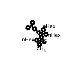 CCCCCCc1ccc(C2(c3ccc(C)cc3)c3cc4c(cc3-c3sccc32)C(c2ccc(CCCCCC)cc2)(c2ccc(CCCCCC)cc2)c2cc(-c3ccc(N(c5ccccc5)c5ccccc5)cc3)sc2-4)cc1